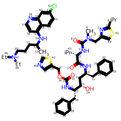 CC(C)c1nc(CN(C)C(=O)N[C@H](C(=O)N[C@@H](Cc2ccccc2)C[C@H](O)[C@H](Cc2ccccc2)NC(=O)OCc2cncs2)C(C)C)cs1.CCN(CC)CCCC(C)Nc1ccnc2cc(Cl)ccc12